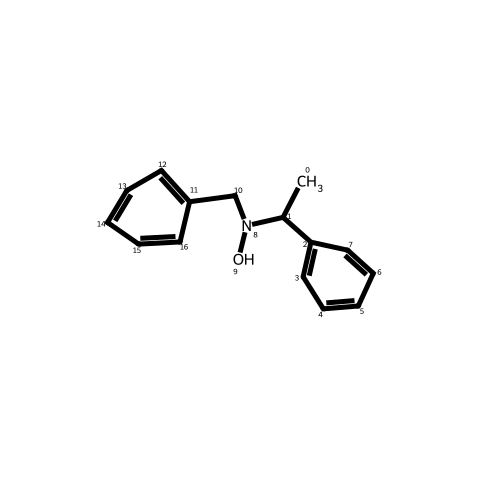 CC(c1ccccc1)N(O)Cc1ccccc1